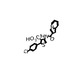 O=C(Nc1csc(-c2ccc(Cl)cc2)c1C(=O)O)c1cc2ccccn2c1